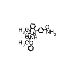 CC(Oc1ccccc1)C(=O)NC1N=C(c2ccc(C(N)=O)cc2)c2ccccc2N(C)C1=O